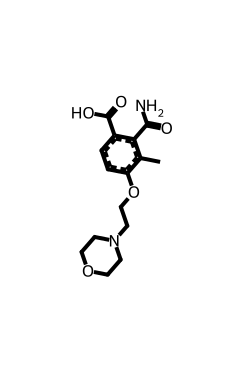 Cc1c(OCCN2CCOCC2)ccc(C(=O)O)c1C(N)=O